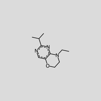 CCN1CCOc2cnc(C(C)C)nc21